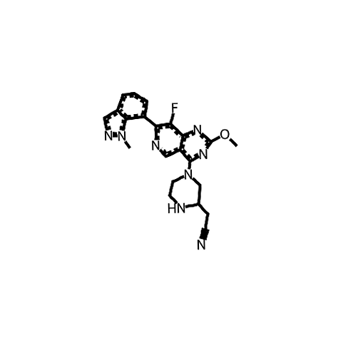 COc1nc(N2CCNC(CC#N)C2)c2cnc(-c3cccc4cnn(C)c34)c(F)c2n1